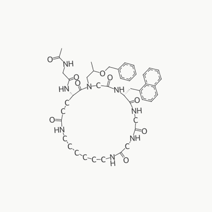 CC(=O)NCC(=O)N[C@H]1CCC(=O)NCCCCCCNC(=O)CNC(=O)CNC(=O)[C@@H](Cc2cccc3ccccc23)NC(=O)CN(CC(C)OCc2ccccc2)C1=O